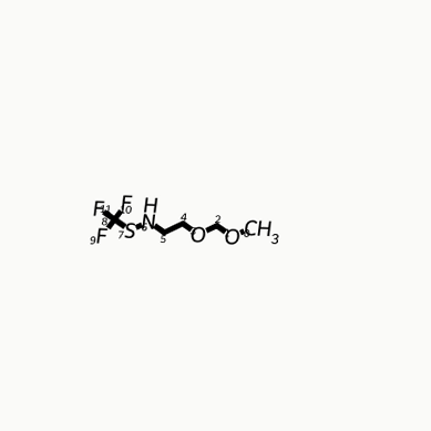 COCOCCNSC(F)(F)F